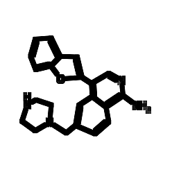 Nc1ncc(-c2cc3ccccc3o2)c2cc(CN3CCNCC3)ccc12